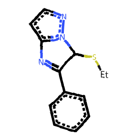 CCSC1C(c2ccccc2)=Nc2ccnn21